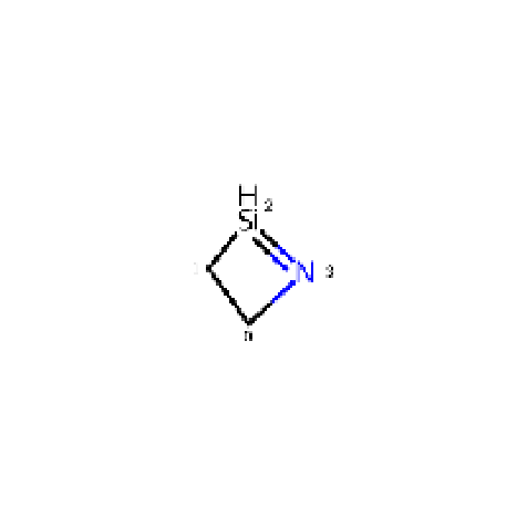 C1C[SiH]=N1